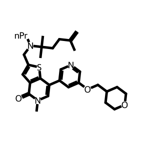 C=C(C)CCC(C)(C)N(CCC)Cc1cc2c(=O)n(C)cc(-c3cncc(OCC4CCOCC4)c3)c2s1